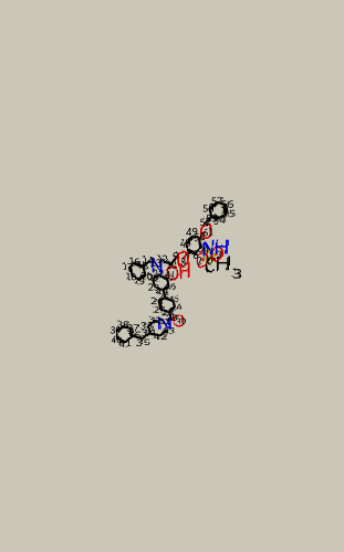 CS(=O)(=O)Nc1cc(OC[C@H](O)CN(Cc2ccccc2)C2CCC(c3ccc(C(=O)N4CCC(Cc5ccccc5)CC4)cc3)CC2)ccc1OCc1ccccc1